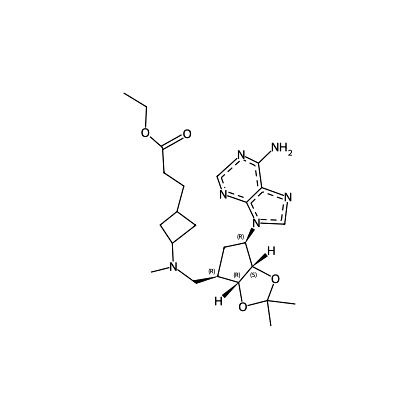 CCOC(=O)CCC1CC(N(C)C[C@H]2C[C@@H](n3cnc4c(N)ncnc43)[C@@H]3OC(C)(C)O[C@H]23)C1